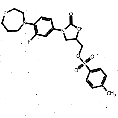 Cc1ccc(S(=O)(=O)OCC2CN(c3ccc(N4CCCSCC4)c(F)c3)C(=O)O2)cc1